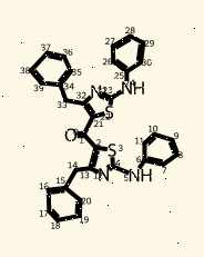 O=C(c1sc(Nc2ccccc2)nc1Cc1ccccc1)c1sc(Nc2ccccc2)nc1Cc1ccccc1